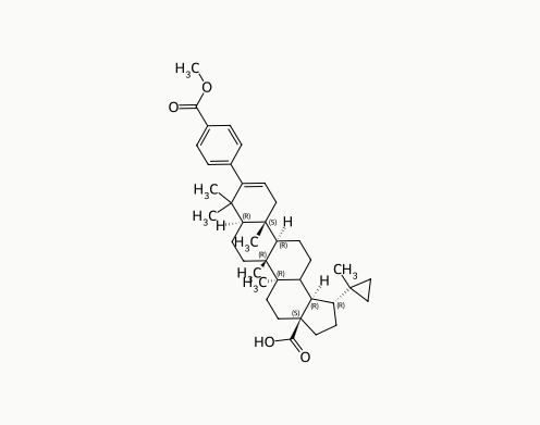 COC(=O)c1ccc(C2=CC[C@]3(C)[C@H]4CCC5[C@H]6[C@H](C7(C)CC7)CC[C@]6(C(=O)O)CC[C@@]5(C)[C@]4(C)CC[C@H]3C2(C)C)cc1